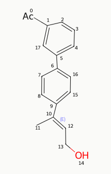 CC(=O)c1cccc(-c2ccc(/C(C)=C/CO)cc2)c1